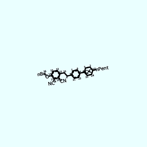 CCCCCC12CCC(c3ccc(CCc4ccc(OCCCC)c(C#N)c4C#N)cc3)(CC1)CC2